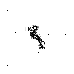 CC(C)(C)OC(=O)COc1ccc(-c2cc(-c3ccccc3O)nnc2N)cc1